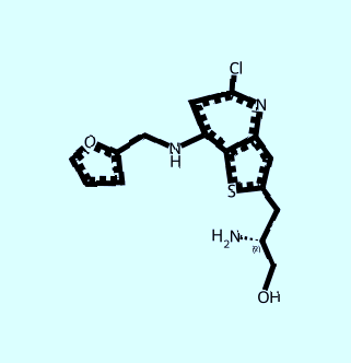 N[C@@H](CO)Cc1cc2nc(Cl)cc(NCc3ccco3)c2s1